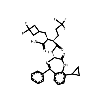 NC(=O)[C@@H](CC1CC(F)(F)C1)[C@@H](CCC(F)(F)F)C(=O)N[C@H]1N=C(c2ccccc2)c2cccc(C3CC3)c2NC1=O